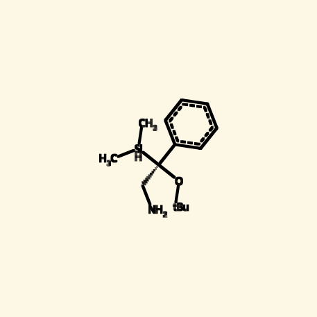 C[SiH](C)[C@](CN)(OC(C)(C)C)c1ccccc1